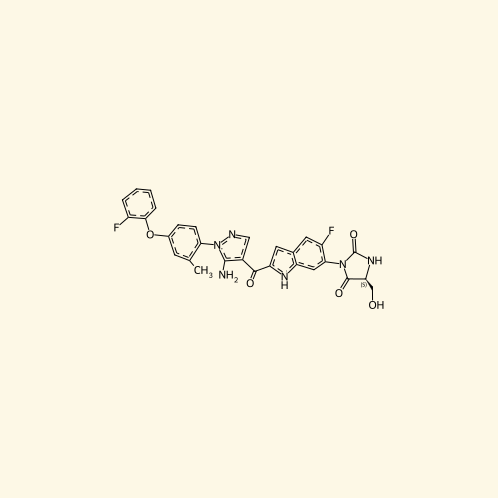 Cc1cc(Oc2ccccc2F)ccc1-n1ncc(C(=O)c2cc3cc(F)c(N4C(=O)N[C@@H](CO)C4=O)cc3[nH]2)c1N